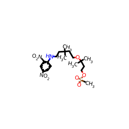 CC(C)(CCNc1ccc([N+](=O)[O-])cc1[N+](=O)[O-])CCOC(C)(C)CCOS(C)(=O)=O